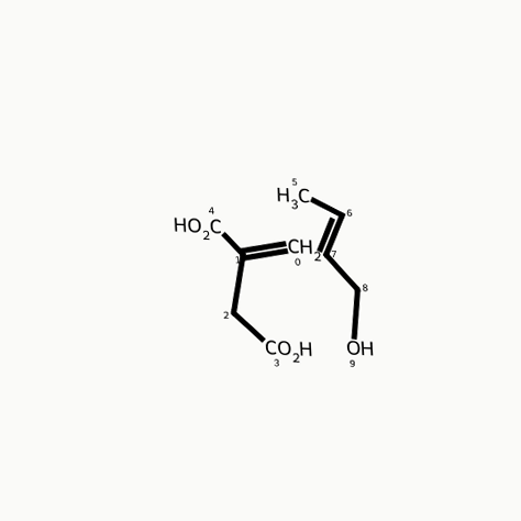 C=C(CC(=O)O)C(=O)O.CC=CCO